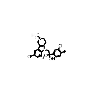 CN1CCc2c(c3cc(Cl)ccc3n2CC(C)(O)c2ccc(F)c(Cl)c2)C1